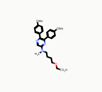 COc1ccc(-c2ncc(N(C)CCCCOCC(=O)O)nc2-c2ccc(OC)cc2)cc1